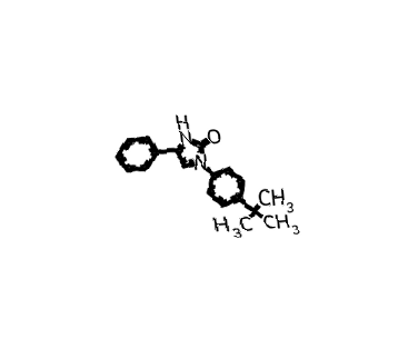 CC(C)(C)c1ccc(-n2cc(-c3ccccc3)[nH]c2=O)cc1